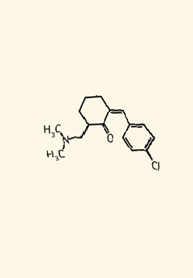 CN(C)CC1CCC/C(=C/c2ccc(Cl)cc2)C1=O